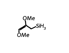 COC=C(C[SiH3])OC